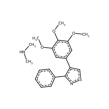 CNC.COc1cc(-c2csnc2-c2ccccc2)cc(OC)c1OC